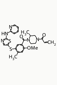 C=CC(=O)N1CCN(C(=O)c2cc(Sc3cnc(Nc4ccccn4)s3)c(C)cc2OC)C(C)C1